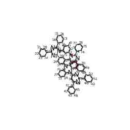 Cc1cc(C)c(-c2c(-c3nc(-c4ccccc4)nc(-c4ccccc4)n3)ccc(N3c4ccccc4N(c4cc(-c5ccccc5)nc(-c5ccccc5)n4)c4ccccc43)c2-c2nc(-c3ccccc3)nc(-c3ccccc3)n2)c(C)c1